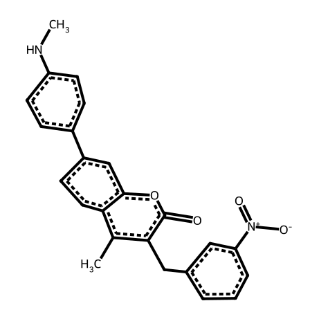 CNc1ccc(-c2ccc3c(C)c(Cc4cccc([N+](=O)[O-])c4)c(=O)oc3c2)cc1